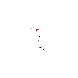 CCC(I)C(=O)OCCOC(=O)C(O)(C(F)(F)F)C(F)(F)F